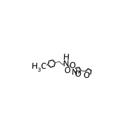 Cc1ccc(CCNC(=O)Oc2cc(-c3ccco3)on2)cc1